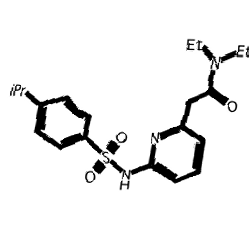 CCN(CC)C(=O)Cc1cccc(NS(=O)(=O)c2ccc(C(C)C)cc2)n1